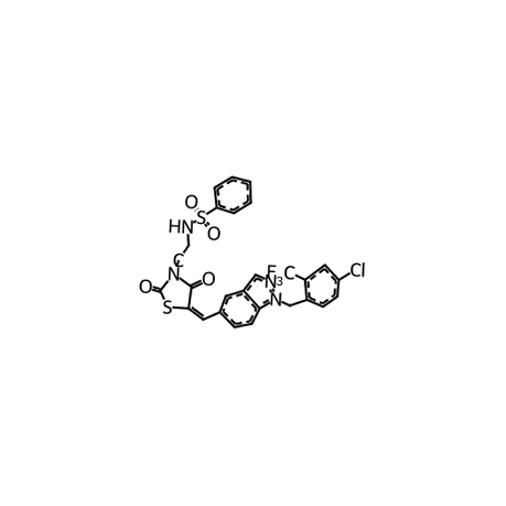 O=C1SC(=Cc2ccc3c(cnn3Cc3ccc(Cl)cc3C(F)(F)F)c2)C(=O)N1CCNS(=O)(=O)c1ccccc1